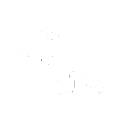 CNC(C[C@H](Oc1cccc2ccsc12)c1cccs1)OC(=O)C(=O)OC(C[C@H](Oc1cccc2ccsc12)c1cccs1)NC